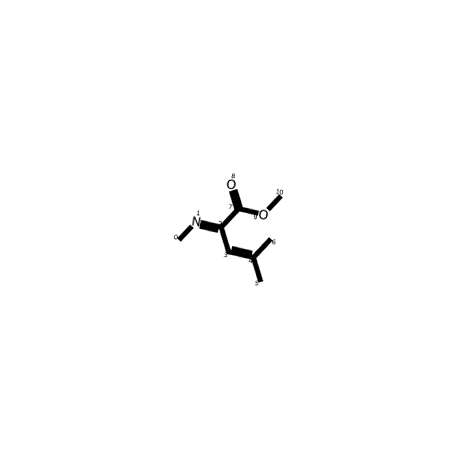 C/N=C(\C=C(C)C)C(=O)OC